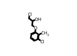 Cc1c(Cl)cccc1OCC(O)CCl